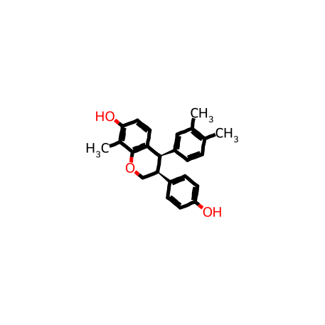 Cc1ccc([C@@H]2c3ccc(O)c(C)c3OC[C@@H]2c2ccc(O)cc2)cc1C